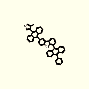 Cc1cscc1-c1c2ccccc2c(-c2ccc3oc4c(-c5c6ccccc6c(-c6ccccc6)c6ccccc56)cccc4c3c2)c2ccccc12